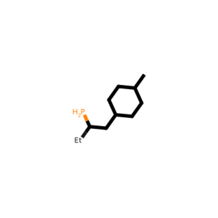 CCC(P)CC1CCC(C)CC1